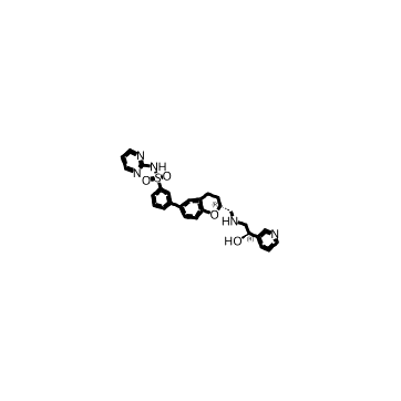 O=S(=O)(Nc1ncccn1)c1cccc(-c2ccc3c(c2)CC[C@H](CNC[C@H](O)c2cccnc2)O3)c1